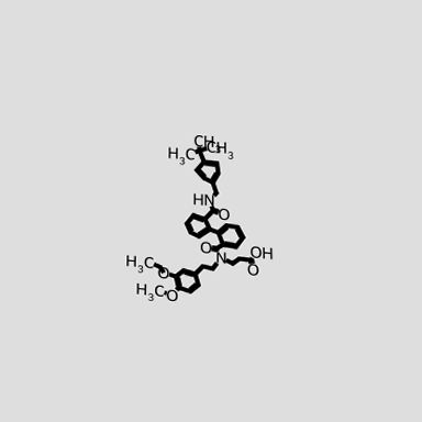 CCOc1cc(CCN(CCC(=O)O)C(=O)c2ccccc2-c2ccccc2C(=O)NCc2ccc(C(C)(C)C)cc2)ccc1OC